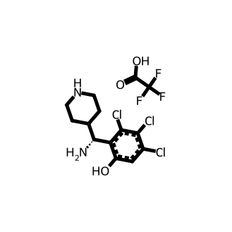 N[C@@H](c1c(O)cc(Cl)c(Cl)c1Cl)C1CCNCC1.O=C(O)C(F)(F)F